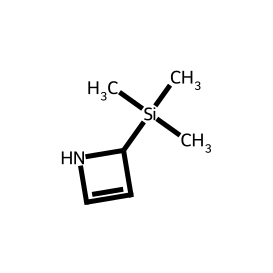 C[Si](C)(C)C1C=CN1